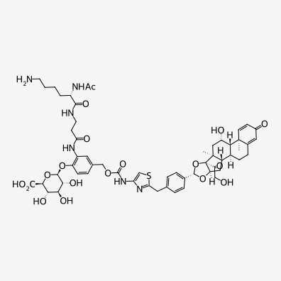 CC(=O)N[C@@H](CCCCN)C(=O)NCCC(=O)Nc1cc(COC(=O)Nc2csc(Cc3ccc([C@H]4O[C@@H]5C[C@H]6[C@@H]7CCC8=CC(=O)C=C[C@]8(C)[C@H]7[C@@H](O)C[C@]6(C)[C@]5(C(=O)CO)O4)cc3)n2)ccc1O[C@@H]1O[C@H](C(=O)O)[C@@H](O)[C@H](O)[C@H]1O